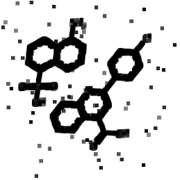 Nc1cccc2c(S(=O)(=O)O)cccc12.O=C(O)c1cc(-c2ccc(Cl)cc2)nc2ccccc12